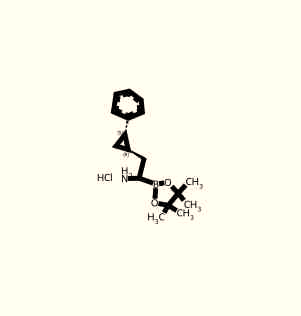 CC1(C)OB(C(N)C[C@H]2C[C@@H]2c2ccccc2)OC1(C)C.Cl